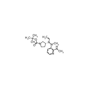 C=CN([C@@H]1CCN(C(=O)OC(C)(C)C)C1)N(C)c1cccnc1NC